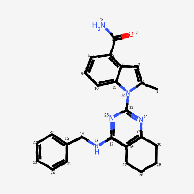 Cc1cc2c(C(N)=O)cccc2n1-c1nc2c(c(NCc3ccccc3)n1)CCCC2